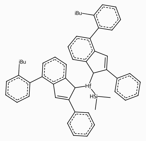 CCC(C)c1ccccc1-c1cccc2c1C=C(c1ccccc1)[CH]2[Hf]([CH]1C(c2ccccc2)=Cc2c(-c3ccccc3C(C)CC)cccc21)[SiH](C)C